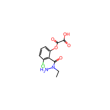 CCN(N)C(=O)c1c(Cl)cccc1OC(=O)C(=O)O